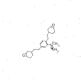 C[SiH](C)c1cc(CCC2CCC3OC3C2)ccc1CCC1CCC2OC2C1